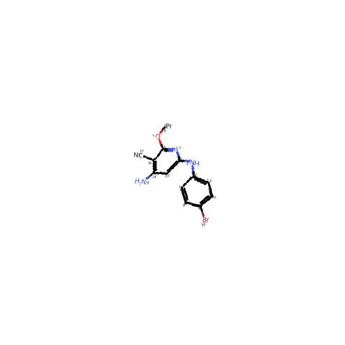 CC(C)Oc1nc(Nc2ccc(Br)cc2)cc(N)c1C#N